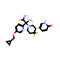 CC(C(N)=O)(c1ncc(OCC2CC2)cc1F)N1CCC(F)(F)[C@@H](c2ccc(=O)[nH]c2)C1